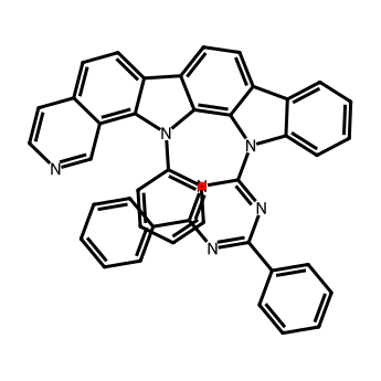 c1ccc(-c2nc(-c3ccccc3)nc(-n3c4ccccc4c4ccc5c6ccc7ccncc7c6n(-c6ccccc6)c5c43)n2)cc1